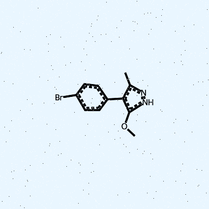 COc1[nH]nc(C)c1-c1ccc(Br)cc1